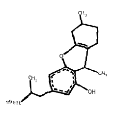 CCCCCC(C)Cc1cc(O)c2c(c1)OC1=C(CCC(C)C1)C2C